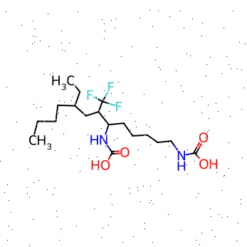 CCCCC(CC)CC(C(CCCCCNC(=O)O)NC(=O)O)C(F)(F)F